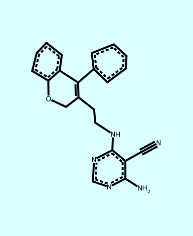 N#Cc1c(N)ncnc1NCCC1=C(c2ccccc2)c2ccccc2OC1